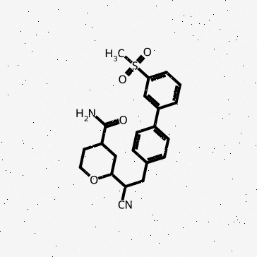 CS(=O)(=O)c1cccc(-c2ccc(CC(C#N)C3CC(C(N)=O)CCO3)cc2)c1